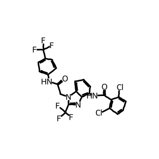 O=C(Cn1c(C(F)(F)F)nc2c(NC(=O)c3c(Cl)cccc3Cl)cccc21)Nc1ccc(C(F)(F)F)cc1